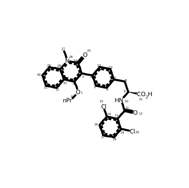 CCCOc1c(-c2ccc(C[C@H](NC(=O)c3c(Cl)cccc3Cl)C(=O)O)cc2)c(=O)n(C)c2ccccc12